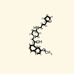 COc1cnc2cccc(C(O)CN3CCC(NC/C=C/c4ccco4)CC3)c2c1